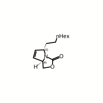 CCCCCCCC[C@H]1C=C[C@@H]2COC(=O)N12